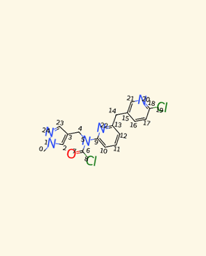 Cn1cc(CN(C(=O)Cl)c2cccc(Cc3ccc(Cl)nc3)n2)cn1